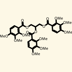 COc1ccc(C(=O)OCC(COC(=O)c2ccc(OC)c(OC)c2OC)OC(=O)c2ccc(OC)c(OC)c2OC)c(OC)c1OC